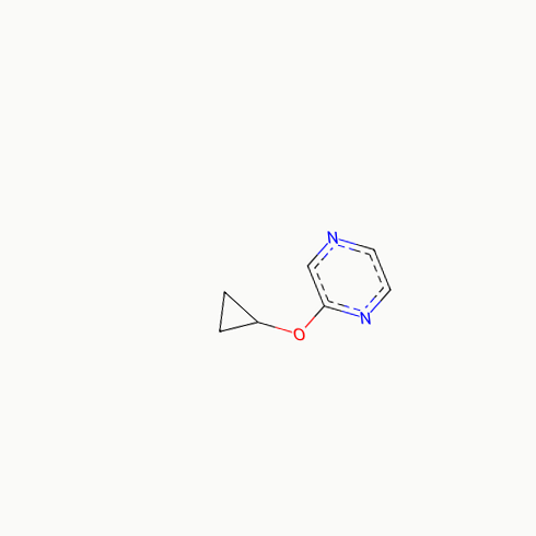 c1cnc(OC2CC2)cn1